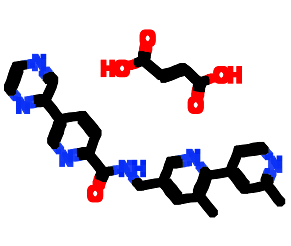 Cc1cc(-c2ncc(CNC(=O)c3ccc(-c4cnccn4)cn3)cc2C)ccn1.O=C(O)C=CC(=O)O